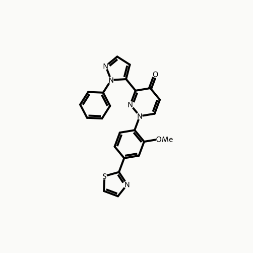 COc1cc(-c2nccs2)ccc1-n1ccc(=O)c(-c2ccnn2-c2ccccc2)n1